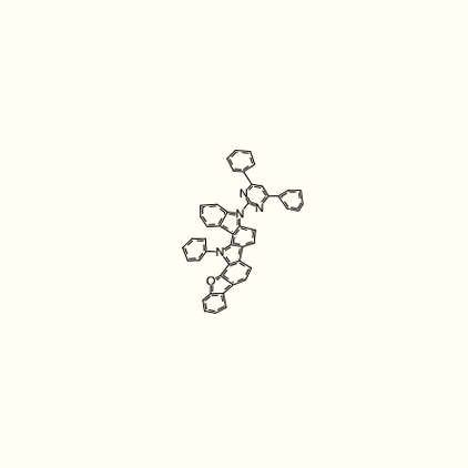 c1ccc(-c2cc(-c3ccccc3)nc(-n3c4ccccc4c4c3ccc3c5ccc6c7ccccc7oc6c5n(-c5ccccc5)c34)n2)cc1